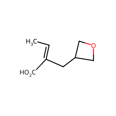 CC=C(CC1COC1)C(=O)O